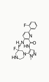 Cn1ncc(NC(=O)c2nc(-c3ccccc3F)ccc2N)c1N1CCNCC(F)(F)C1